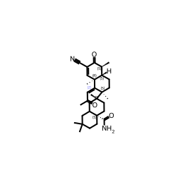 CC(=O)/C=C1/[C@@]2(C)C=C(C#N)C(=O)[C@@H](C)[C@@H]2CC[C@@]1(C)[C@]1(C)CC[C@@]2(C(N)=O)CCC(C)(C)CC2C1